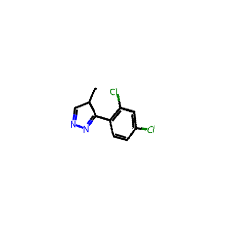 CC1C=NN=C1c1ccc(Cl)cc1Cl